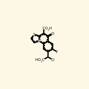 O=C(O)c1c(=O)c2cc(F)c(C(Cl)C(=O)O)cc2n2ccsc12